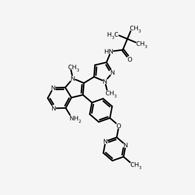 Cc1ccnc(Oc2ccc(-c3c(-c4cc(NC(=O)C(C)(C)C)nn4C)n(C)c4ncnc(N)c34)cc2)n1